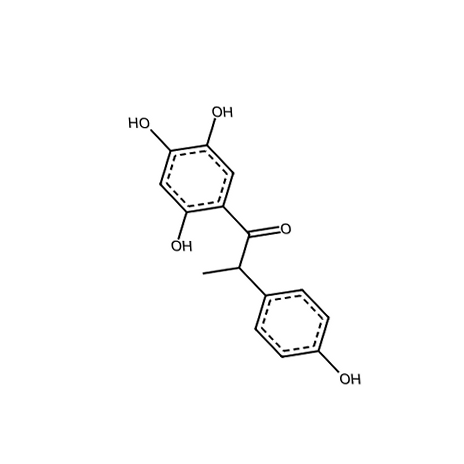 CC(C(=O)c1cc(O)c(O)cc1O)c1ccc(O)cc1